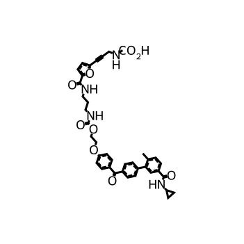 Cc1ccc(C(=O)NC2CC2)cc1-c1ccc(C(=O)c2ccc(OCCOC(=O)NCCCNC(=O)c3ccc(C#CCNC(=O)O)o3)cc2)cc1